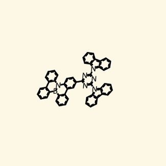 c1ccc2c(c1)B1c3ccccc3-c3cc(-c4nc(-n5c6ccccc6c6ccccc65)nc(-n5c6ccccc6c6ccccc65)n4)ccc3N1c1ccccc1-2